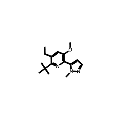 CCc1cc(OC)c(-c2ccnn2C)nc1C(C)(C)C